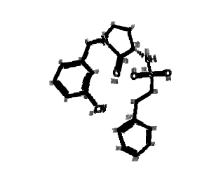 N#Cc1cccc(CN2CC[C@H](NS(=O)(=O)CCc3ccccc3)C2=O)c1